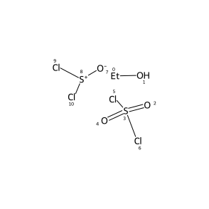 CCO.O=S(=O)(Cl)Cl.[O-][S+](Cl)Cl